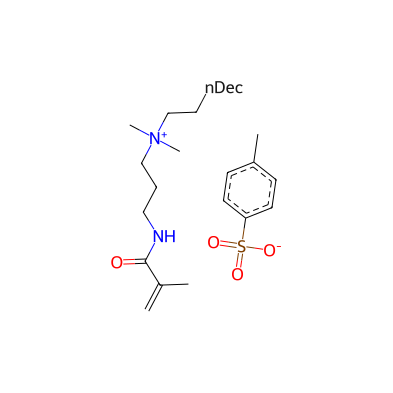 C=C(C)C(=O)NCCC[N+](C)(C)CCCCCCCCCCCC.Cc1ccc(S(=O)(=O)[O-])cc1